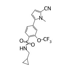 Cn1c(C#N)ccc1-c1ccc(S(=O)(=O)NCC2CC2)c(OC(F)(F)F)c1